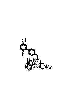 CC(=O)N1CCC(C[C@H](Cc2ccc(-c3cc(Cl)ccc3F)cc2)NC(=O)c2cnn[nH]2)(C(=O)O)C1